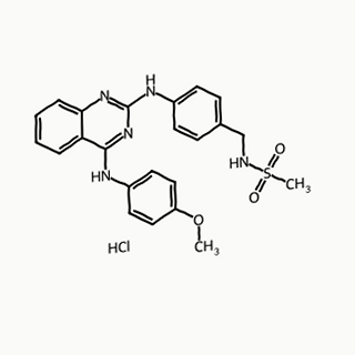 COc1ccc(Nc2nc(Nc3ccc(CNS(C)(=O)=O)cc3)nc3ccccc23)cc1.Cl